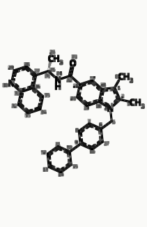 Cc1c(C)n(Cc2ccc(-c3ccccc3)cc2)c2ccc(C(=O)N[C@@H](C)c3ccnc4ccccc34)cc12